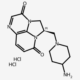 Cl.Cl.NC1CCN(C[C@@H]2Cn3c(=O)cnc4ccc(=O)n2c43)CC1